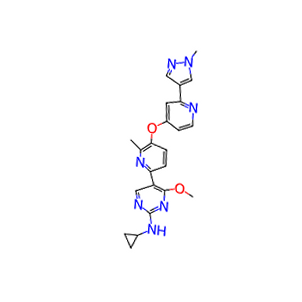 COc1nc(NC2CC2)ncc1-c1ccc(Oc2ccnc(-c3cnn(C)c3)c2)c(C)n1